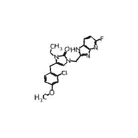 CCn1c(Cc2ccc(OC)cc2Cl)cn(Cc2nc3nc(F)ccc3[nH]2)c1=O